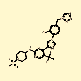 CS(=O)(=O)N1CCC(Nc2ncc(C(F)(F)F)c(-c3cn(-c4ccc(Cn5cnnn5)cc4Cl)cn3)n2)CC1